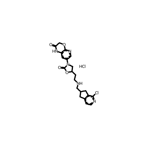 Cl.O=C1COc2ncc(N3CC(CCNCC4Cc5ccnc(Cl)c5C4)OC3=O)cc2N1